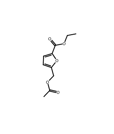 CCOC(=O)c1ccc(COC(C)=O)o1